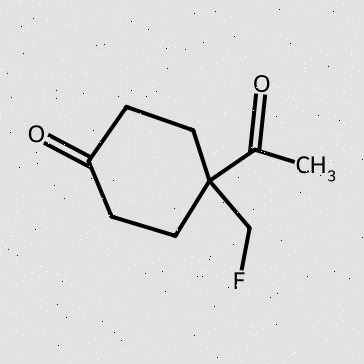 CC(=O)C1(CF)CCC(=O)CC1